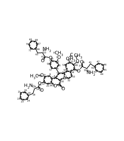 COc1cc(-c2c3c4cc(OC)c(OC(=O)[C@@H](N)Cc5ccccc5)cc4oc(=O)c3n3ccc4c(OC(=O)[C@@H](N)Cc5ccccc5)c(OC)c(OC)cc4c23)ccc1OC(=O)[C@@H](N)Cc1ccccc1